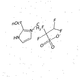 CCCCCCCCc1[nH]cc[n+]1C.O=S(=O)([O-])C(F)(F)C(F)F